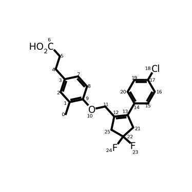 Cc1cc(CCC(=O)O)ccc1OCC1=C(c2ccc(Cl)cc2)CC(F)(F)C1